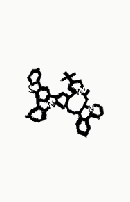 C=C1CC2C(CCc3cc4c(cc3-c3cc(C(C)(C)C)cc[n+]31)c1cc3c5ccccc5sc3c3c5cc(C)ccc5n4c13)c1ccccc1-c1cccc[n+]12